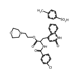 Cc1ccc(S(=O)(=O)O)cc1.O=C(NC(Cc1cc(=O)[nH]c2ccccc12)C(=O)OCCN1CCOCC1)c1ccc(Cl)cc1